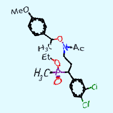 CCOP(C)(=O)C(CCN(OC(C)c1ccc(OC)cc1)C(C)=O)c1ccc(Cl)c(Cl)c1